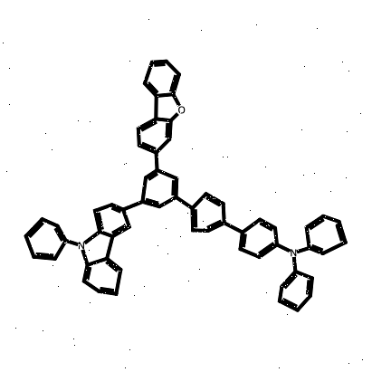 c1ccc(N(c2ccccc2)c2ccc(-c3ccc(-c4cc(-c5ccc6c(c5)oc5ccccc56)cc(-c5ccc6c(c5)c5ccccc5n6-c5ccccc5)c4)cc3)cc2)cc1